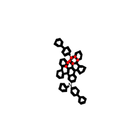 C1=CCCC(N(c2ccc(-c3ccccc3)cc2)c2ccc3c(C4=CC=CCC4c4ccccc4)c4cc(N(c5ccccc5)c5ccc(-c6ccccc6)cc5)ccc4c(-c4ccccc4-c4ccccc4)c3c2)=C1